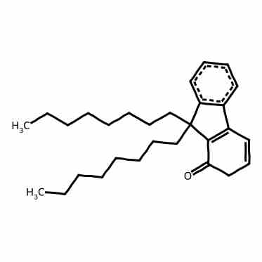 CCCCCCCCC1(CCCCCCCC)C2=C(C=CCC2=O)c2ccccc21